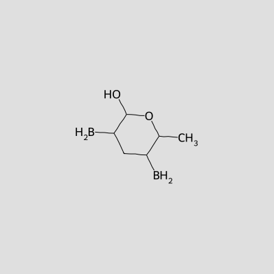 BC1CC(B)C(O)OC1C